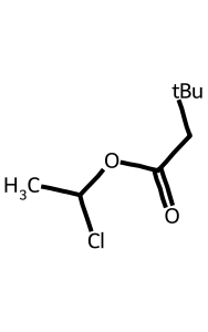 CC(Cl)OC(=O)CC(C)(C)C